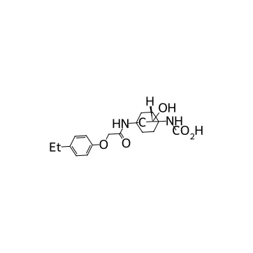 CCc1ccc(OCC(=O)NC23CCC(NC(=O)O)(CC2)[C@@H](O)C3)cc1